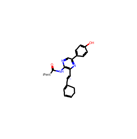 CCCC(C)C(=O)Nc1ncc(-c2ccc(O)cc2)nc1/C=C/C1=CC=CCC1